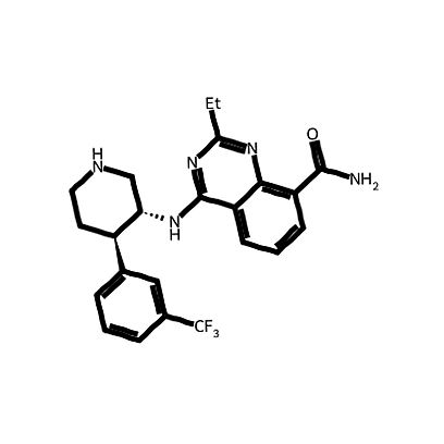 CCc1nc(N[C@H]2CNCC[C@@H]2c2cccc(C(F)(F)F)c2)c2cccc(C(N)=O)c2n1